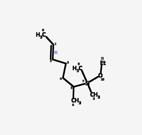 C/C=C/CCC(C)[Si](C)(C)OCC